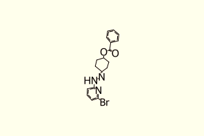 O=C(OC1CCC(=NNc2cccc(Br)n2)CC1)c1ccccc1